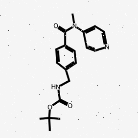 CN(C(=O)c1ccc(CNC(=O)OC(C)(C)C)cc1)c1ccncc1